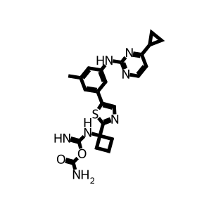 Cc1cc(Nc2nccc(C3CC3)n2)cc(-c2cnc(C3(NC(=N)OC(N)=O)CCC3)s2)c1